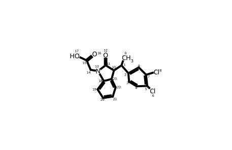 CC(c1ccc(Cl)c(Cl)c1)C1C(=O)N(CC(=O)O)c2ccccc21